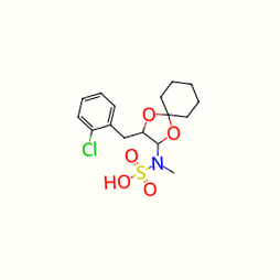 CN(C1OC2(CCCCC2)OC1Cc1ccccc1Cl)S(=O)(=O)O